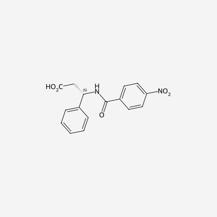 O=C(O)C[C@H](NC(=O)c1ccc([N+](=O)[O-])cc1)c1ccccc1